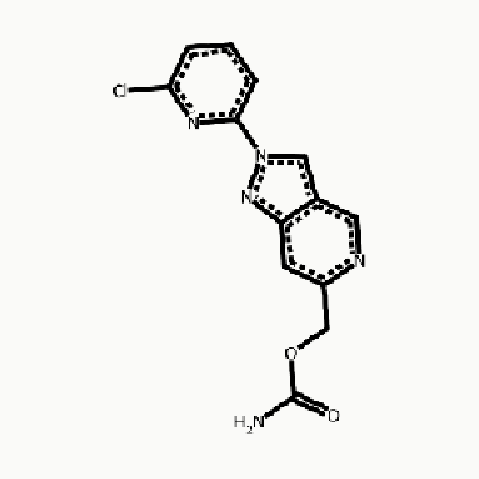 NC(=O)OCc1cc2nn(-c3cccc(Cl)n3)cc2cn1